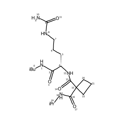 CCC(C)NC(=O)[C@H](CCCNC(N)=O)NC(=O)C1(C(=O)NC(C)C)CCC1